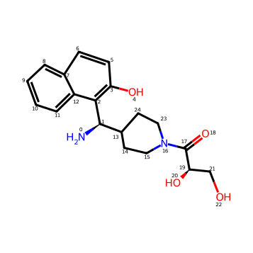 N[C@@H](c1c(O)ccc2ccccc12)C1CCN(C(=O)[C@H](O)CO)CC1